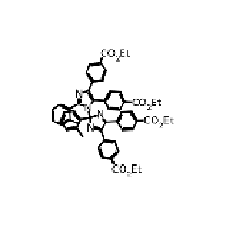 CCOC(=O)c1ccc(C2=NC(c3ccccc3C)(n3c(-c4ccccc4C)nc(-c4ccc(C(=O)OCC)cc4)c3-c3ccc(C(=O)OCC)cc3)N=C2c2ccc(C(=O)OCC)cc2)cc1